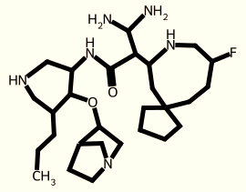 CCCC1CNCC(NC(=O)C(C(N)N)C2CC3(CCCC3)CCC(F)CN2)C1OC1CN2CCC1C2